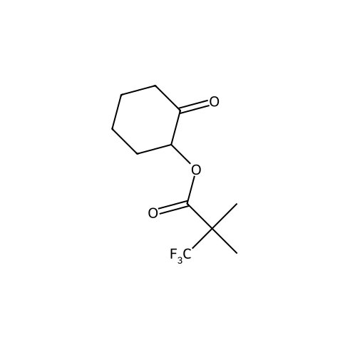 CC(C)(C(=O)OC1CCCCC1=O)C(F)(F)F